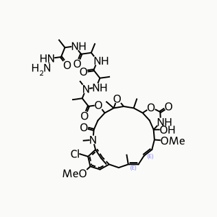 COc1cc2cc(c1Cl)N(C)C(=O)CC(OC(=O)C(C)N(C)NC(C)C(=O)NC(C)C(=O)NC(C)C(=O)NN)C1(C)OC1C(C)C1CC(O)(NC(=O)O1)C(OC)/C=C/C=C(\C)C2